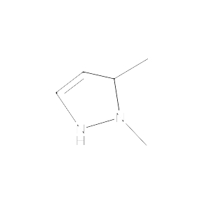 CC1[C]=CNN1C